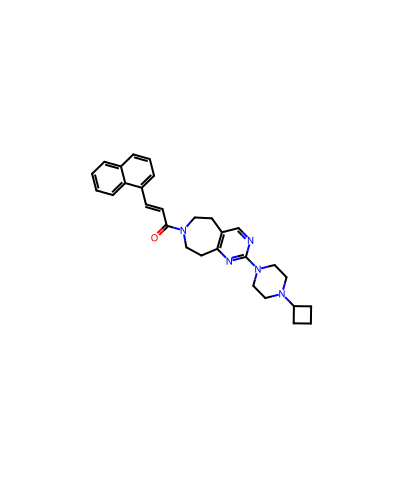 O=C(C=Cc1cccc2ccccc12)N1CCc2cnc(N3CCN(C4CCC4)CC3)nc2CC1